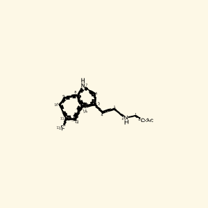 CC(=O)OCNCCc1c[nH]c2ccc(F)cc12